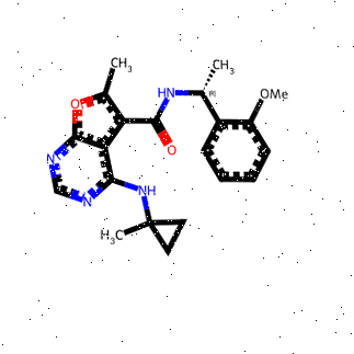 COc1ccccc1[C@@H](C)NC(=O)c1c(C)oc2ncnc(NC3(C)CC3)c12